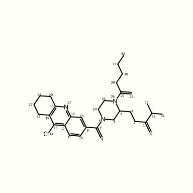 C=C(CCC1CN(C(=C)c2ccc3c(Cl)c4c(nc3c2)CCCC4)CCN1C(=C)CCCC)C(C)C